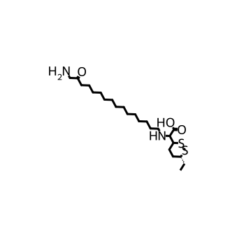 CC[C@@H]1CCC(C(NCCCCCCCCCCCCCCC(=O)CN)C(=O)O)SS1